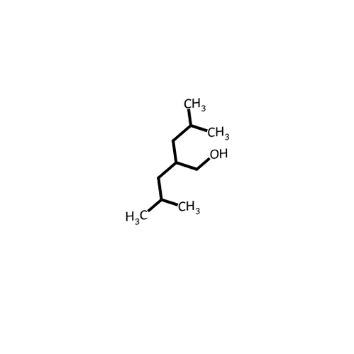 CC(C)CC(CO)CC(C)C